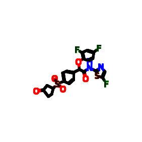 O=C1CCC(S(=O)(=O)c2ccc(C(Oc3ccc(F)cc3F)C(=O)Nc3ncc(F)s3)cc2)C1